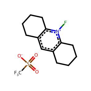 F[n+]1c2c(cc3c1CCCC3)CCCC2.O=S(=O)([O-])C(F)(F)F